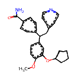 COc1ccc(C(Cc2ccncc2)c2ccc(C(N)=O)cc2)cc1OC1CCCC1